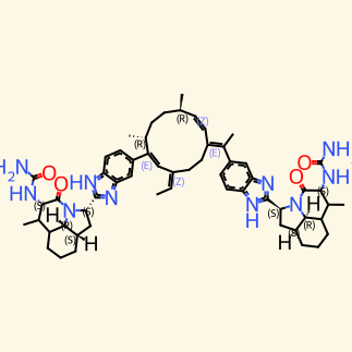 C/C=C1\C=C(\c2ccc3[nH]c([C@@H]4C[C@@H]5CCCC6C(C)[C@H](NC(N)=O)C(=O)N4[C@@H]65)nc3c2)[C@H](C)CC[C@@H](C)/C=C\C(=C(/C)c2ccc3[nH]c([C@@H]4C[C@@H]5CCCC6C(C)[C@H](NC(N)=O)C(=O)N4[C@@H]65)nc3c2)CC1